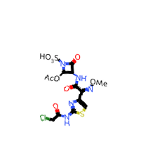 CO/N=C(\C(=O)N[C@@H]1C(=O)N(S(=O)(=O)O)[C@@H]1OC(C)=O)c1csc(NC(=O)CCl)n1